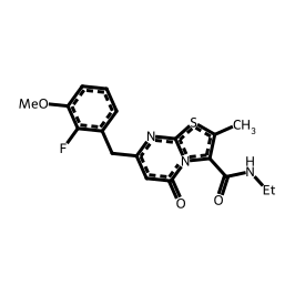 CCNC(=O)c1c(C)sc2nc(Cc3cccc(OC)c3F)cc(=O)n12